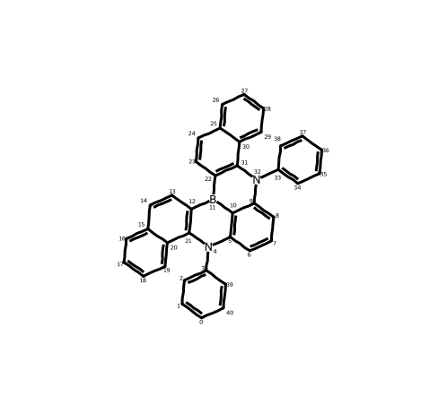 c1ccc(N2c3cccc4c3B(c3ccc5ccccc5c32)c2ccc3ccccc3c2N4c2ccccc2)cc1